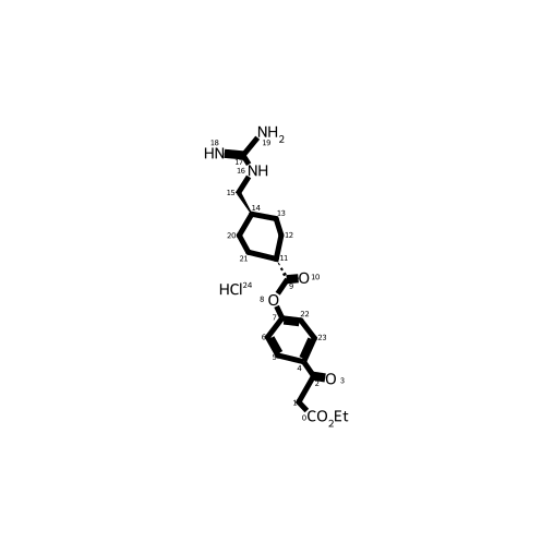 CCOC(=O)CC(=O)c1ccc(OC(=O)[C@H]2CC[C@H](CNC(=N)N)CC2)cc1.Cl